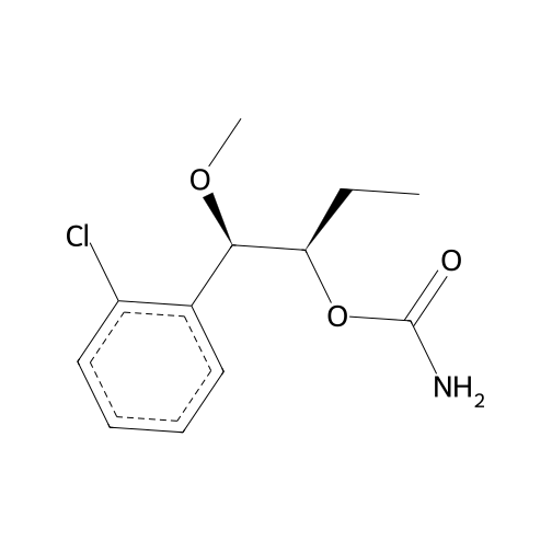 CC[C@@H](OC(N)=O)[C@H](OC)c1ccccc1Cl